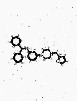 c1ccc(C(Nc2cccc(N3CCN(Cc4ccco4)CC3)c2)c2ccccc2)cc1